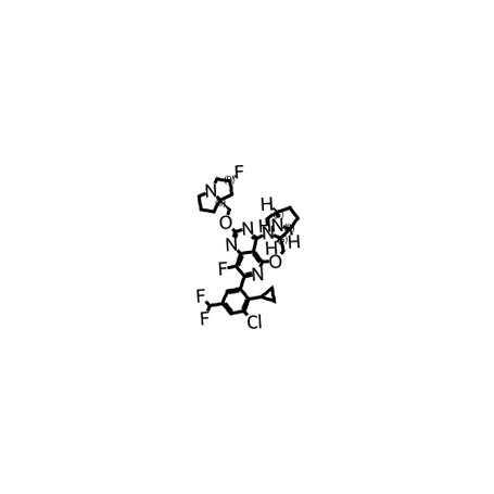 Fc1c(-c2cc(C(F)F)cc(Cl)c2C2CC2)nc2c3c(nc(OC[C@@]45CCCN4C[C@H](F)C5)nc13)N1C[C@@H]3CC[C@@H](N3)[C@H]1CO2